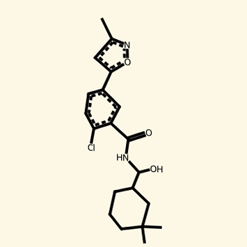 Cc1cc(-c2ccc(Cl)c(C(=O)NC(O)C3CCCC(C)(C)C3)c2)on1